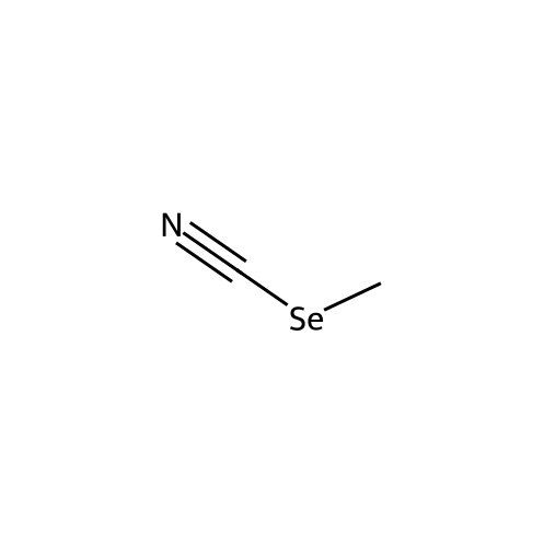 C[Se]C#N